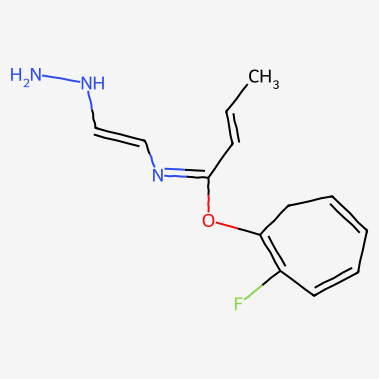 C/C=C/C(=N\C=C\NN)OC1=C(F)C=CC=CC1